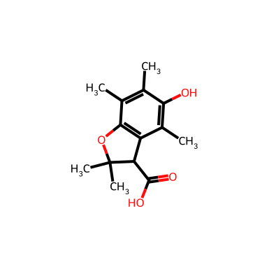 Cc1c(C)c2c(c(C)c1O)C(C(=O)O)C(C)(C)O2